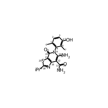 Cc1ccc(O)c(C)c1-n1c(N)c(C(N)=O)c2nc(C(C)C)sc2c1=O